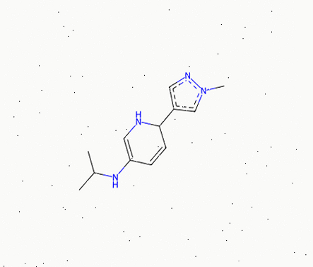 CC(C)NC1=CNC(c2cnn(C)c2)C=C1